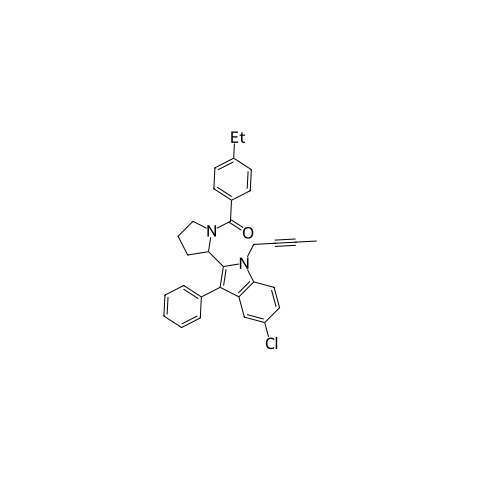 CC#CCn1c(C2CCCN2C(=O)c2ccc(CC)cc2)c(-c2ccccc2)c2cc(Cl)ccc21